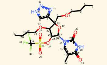 CCCCOC[C@@]1(c2c[nH]nn2)O[C@@H](n2cc(C)c(=O)[nH]c2=O)[C@@H](OS(=O)(=O)C(F)(F)F)C1OCCCC